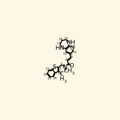 Cc1c(CN(C)C(=O)C=Cc2cnc3c(c2)NCCCN3)sc2ccccc12